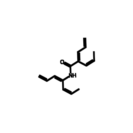 C=C/C=C(\C=C/C)NC(=O)C(/C=C\C)=C/C=C